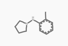 Cc1ccccc1NN1CCCC1